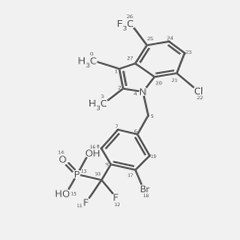 Cc1c(C)n(Cc2ccc(C(F)(F)P(=O)(O)O)c(Br)c2)c2c(Cl)ccc(C(F)(F)F)c12